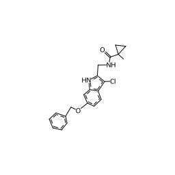 CC1(C(=O)NCc2[nH]c3cc(OCc4ccccc4)ccc3c2Cl)CC1